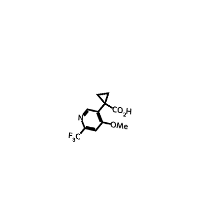 COc1cc(C(F)(F)F)ncc1C1(C(=O)O)CC1